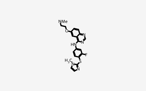 CNCCOc1ccc2ncnc(Nc3ccc(Sc4nccn4C)c(F)c3)c2c1